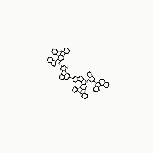 c1ccc2c(-n3c4ccc5cc(-c6cc7c8c(cccc8c6)-c6nc(-n8c9ccc%10ccccc%10c9c9c%10c%11ccccc%11n%11c%12ccccc%12c(cc98)c%10%11)cnc6-7)ccc5c4c4c5c6ccccc6n6c7ccccc7c(cc43)c56)cc(-n3c4ccccc4c4c5ccccc5ccc43)cc2c1